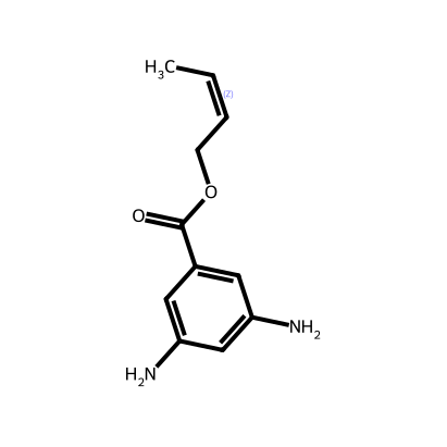 C/C=C\COC(=O)c1cc(N)cc(N)c1